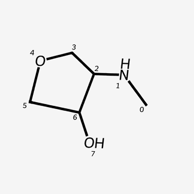 CNC1COCC1O